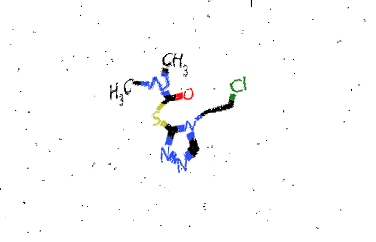 CN(C)C(=O)Sc1nncn1CCCl